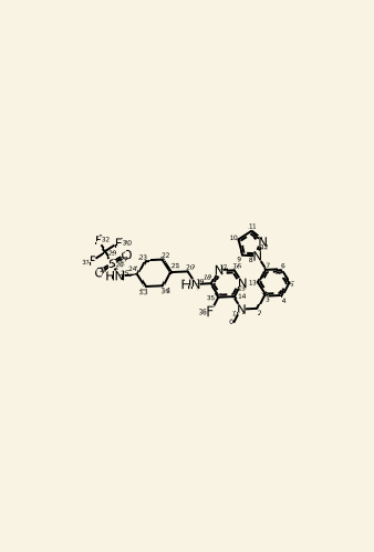 CN(Cc1cccc(-n2cccn2)c1)c1ncnc(NCC2CCC(NS(=O)(=O)C(F)(F)F)CC2)c1F